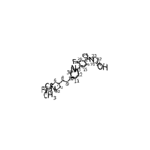 CC(F)(CN1CCC(CCc2ccc(-c3ccc(C(=O)N4CCC(O)C4)cc3F)nc2)CC1)C(F)(F)F